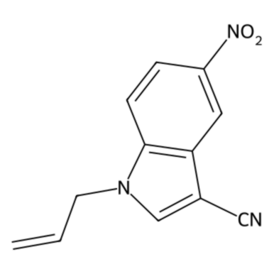 C=CCn1cc(C#N)c2cc([N+](=O)[O-])ccc21